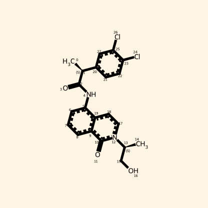 C[C@H](C(=O)Nc1cccc2c(=O)n([C@@H](C)CO)ccc12)c1ccc(Cl)c(Cl)c1